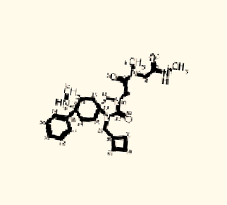 CNC(=O)CN(C)C(=O)CN1C[C@]2(CC[C@](NC)(c3ccccc3)CC2)N(CC2CCC2)C1=O